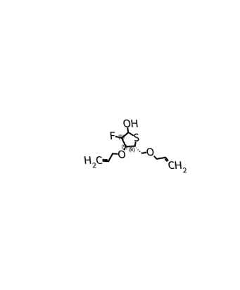 C=CCOC[C@H]1SC(O)[C@H](F)[C@@H]1OCC=C